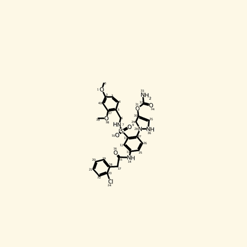 COc1ccc(CNS(=O)(=O)c2cc(NC(=O)Cc3ccccc3Cl)ccc2N2CC(OC(N)=O)=CN2)c(OC)c1